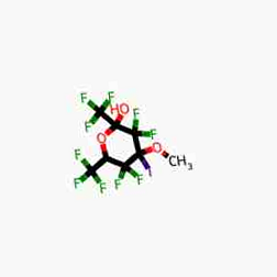 COC1(I)C(F)(F)C(C(F)(F)F)OC(O)(C(F)(F)F)C1(F)F